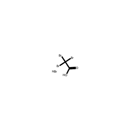 Br.O=C(O)C(Br)(Br)Br